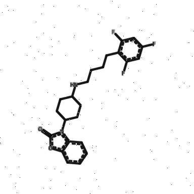 O=c1oc2ccccc2n1C1CCC(NCCCCc2c(F)cc(F)cc2F)CC1